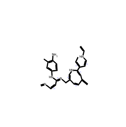 C=CN\C=C/C(=C\C)C1=C/C(=C)/C=C\C(C/N=C(\C=C/N=C)Nc2ccc(N)c(C)c2)=C/N\1